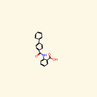 O=C(Nc1ccccc1C(=O)O)c1ccc(-c2ccccc2)cc1